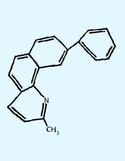 Cc1ccc2ccc3ccc(-c4ccccc4)cc3c2n1